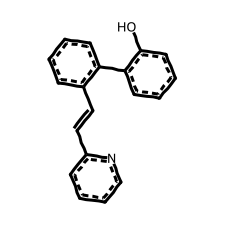 Oc1ccccc1-c1ccccc1C=Cc1ccccn1